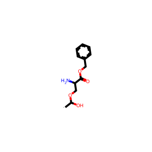 [CH2]C(O)OCC(N)C(=O)OCc1ccccc1